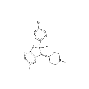 Cc1ccc2c(c1)C(=C1CCN(C)CC1)C(C)(c1ccc(Br)cc1)S2